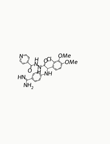 COc1ccc(C(Nc2ccc(C(=N)N)cc2)C(=O)NNC(=O)c2ccncc2)c(Cl)c1OC